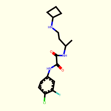 CC(CCNC1CCC1)NC(=O)C(=O)Nc1ccc(Cl)c(F)c1